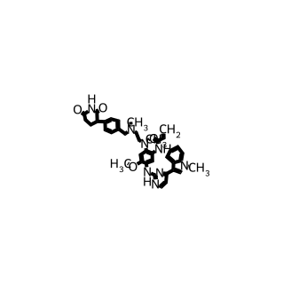 C=CC(=O)Nc1cc(Nc2nccc(-c3cn(C)c4ccccc34)n2)c(OC)cc1N(C)CCN(C)Cc1ccc(C2CCC(=O)NC2=O)cc1